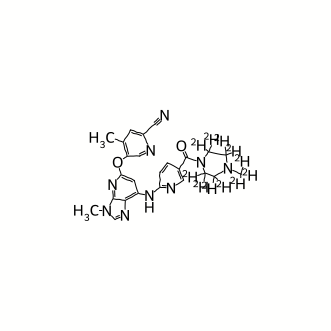 [2H]C([2H])([2H])N1C([2H])([2H])C([2H])([2H])N(C(=O)c2ccc(Nc3cc(Oc4cnc(C#N)cc4C)nc4c3ncn4C)nc2)C([2H])([2H])C1([2H])[2H]